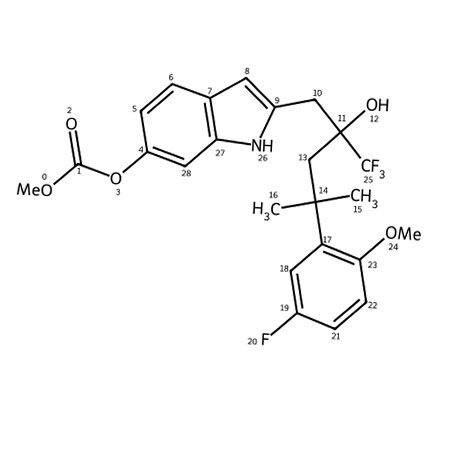 COC(=O)Oc1ccc2cc(CC(O)(CC(C)(C)c3cc(F)ccc3OC)C(F)(F)F)[nH]c2c1